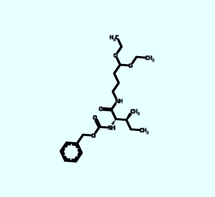 CCOC(CCCNC(=O)[C@@H](NC(=O)OCc1ccccc1)[C@@H](C)CC)OCC